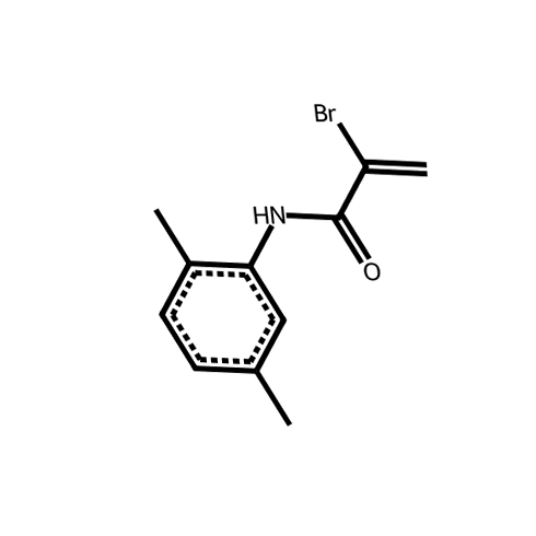 C=C(Br)C(=O)Nc1cc(C)ccc1C